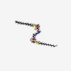 CCCCCCCCCCCCCCSSSCC(C)OC(=O)CCN(C)CCCN(C)CCC(=O)OC(C)CSSSCCCCCCCCCCCCCC